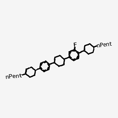 CCCCCC1CCC(c2ccc(C3CCC(c4ccc(C5CCC(CCCCC)CC5)c(F)c4)CC3)cc2)CC1